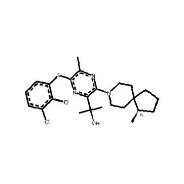 Cc1nc(N2CCC3(CCC[C@H]3C)CC2)c(C(C)(C)O)nc1Sc1cccc(Cl)c1Cl